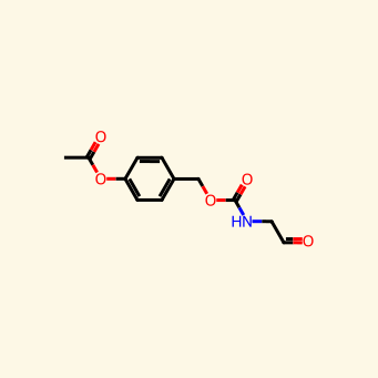 CC(=O)Oc1ccc(COC(=O)NCC=O)cc1